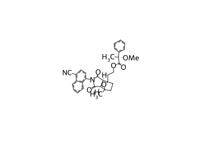 CO[C@@](C)(C(=O)OCCC12CCC(C)(O1)[C@H]1C(=O)N(c3ccc(C#N)c4ccccc34)C(=O)[C@H]12)c1ccccc1